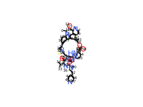 CCn1c(-c2cccnc2[C@H](C)OC)c2c3cc(ccc31)-c1csc(n1)C[C@H](NC(=O)[C@H](C(C)C)N(C)C(=O)N(C)CCc1ccncc1)C(=O)N1CCC[C@H](N1)C(=O)OCC(C)(C)C2